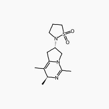 CC1=N[C@@H](C)C(C)=C2C[C@H](N3CCCS3(=O)=O)CN12